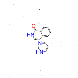 C1=CNCN=C1.O=c1[nH]ccc2ccccc12